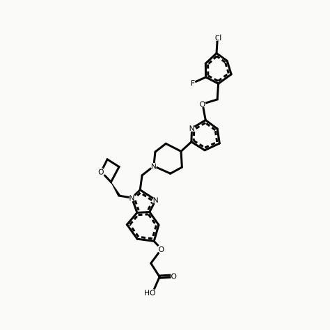 O=C(O)COc1ccc2c(c1)nc(CN1CCC(c3cccc(OCc4ccc(Cl)cc4F)n3)CC1)n2C[C@@H]1CCO1